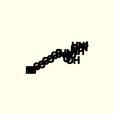 Cc1ccnc(NCCCC(=O)NCC(=O)N[C@@H](CC(=O)O)c2ccc(-c3ccc(OCCOCCOCCOCCOCCN=[N+]=[N-])c4c3CCCC4)cc2)c1